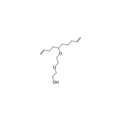 C=CCCCC(CCC=C)OCCOCCO